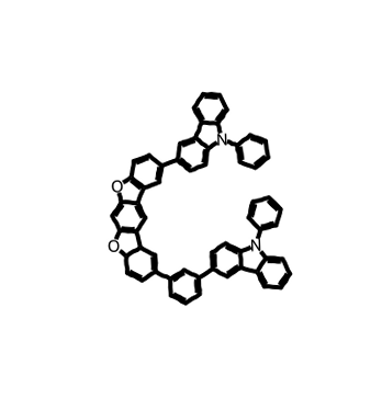 C1=CC2Oc3cc4oc5ccc(-c6ccc7c(c6)c6ccccc6n7-c6ccccc6)cc5c4cc3C2C=C1c1cccc(-c2ccc3c(c2)c2ccccc2n3-c2ccccc2)c1